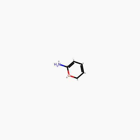 NC1=CC=CCO1